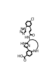 O=C(/C=C/c1cc(Cl)ccc1-n1cnnn1)N[C@H]1CCCCCNc2ccc(C(=O)O)cc2-c2c[nH]c1n2